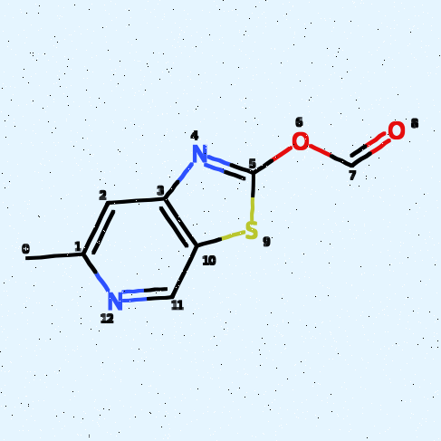 Cc1cc2nc(OC=O)sc2cn1